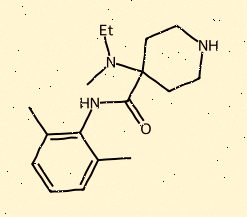 CCN(C)C1(C(=O)Nc2c(C)cccc2C)CCNCC1